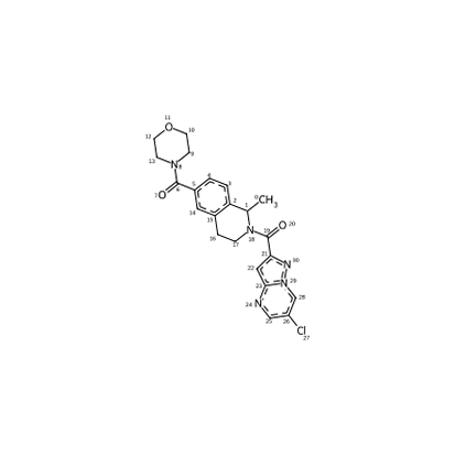 CC1c2ccc(C(=O)N3CCOCC3)cc2CCN1C(=O)c1cc2ncc(Cl)cn2n1